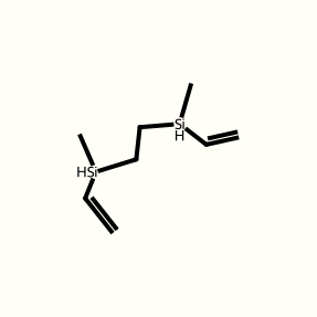 C=C[SiH](C)CC[SiH](C)C=C